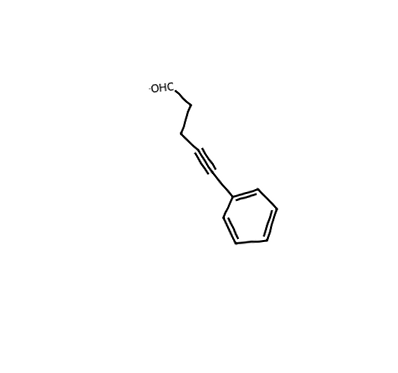 O=[C]CCC#Cc1ccccc1